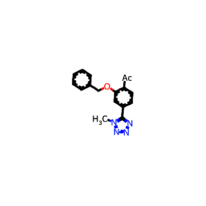 CC(=O)c1ccc(-c2nnnn2C)cc1OCc1ccccc1